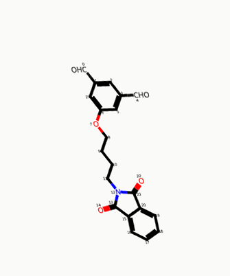 O=Cc1cc(C=O)cc(OCCCCN2C(=O)c3ccccc3C2=O)c1